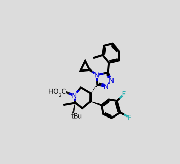 Cc1ccccc1-c1nnc([C@H]2CN(C(=O)O)[C@](C)(C(C)(C)C)C[C@@H]2c2ccc(F)c(F)c2)n1C1CC1